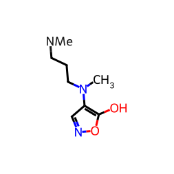 CNCCCN(C)c1cnoc1O